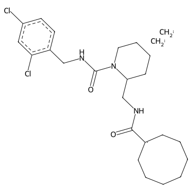 O=C(NCC1CCCCN1C(=O)NCc1ccc(Cl)cc1Cl)[C]1CCCCCCC1.[CH2].[CH2]